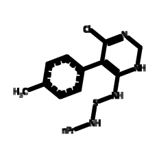 CCCNSNC1=C(c2ccc(C)cc2)C(Cl)=NCN1